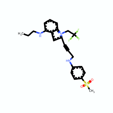 CCCNc1cccc2c1cc(C#CCNc1ccc(S(C)(=O)=O)cc1)n2CC(F)(F)F